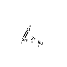 [O]=[Sn].[Ru].[Zr]